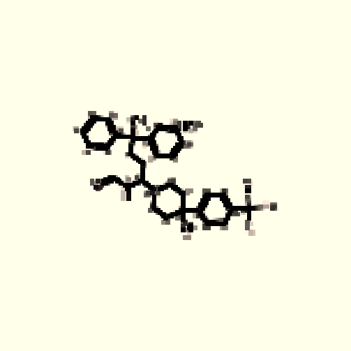 CC(CCC(NC=O)N1CCC(O)(c2ccc(C(F)(F)F)cc2)CC1)(c1ccccc1)c1ccccc1.Cl